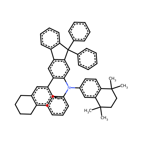 Cc1cc2c(cc1-c1cc3c(cc1N(c1ccccc1)c1ccc4c(c1)C(C)(C)CCC4(C)C)C(c1ccccc1)(c1ccccc1)c1ccccc1-3)CCCC2